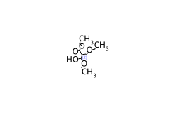 CCO/C=C(\C(=O)OCC)C(O)OCC